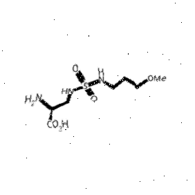 COCCCNS(=O)(=O)NC[C@H](N)C(=O)O